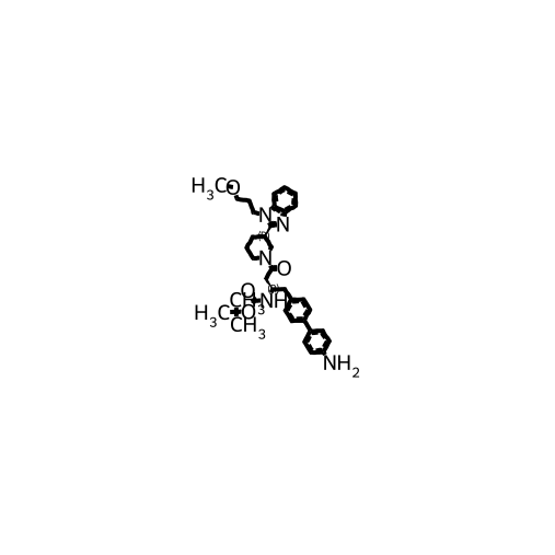 COCCCn1c([C@@H]2CCCN(C(=O)C[C@@H](Cc3ccc(-c4ccc(N)cc4)cc3)NC(=O)OC(C)(C)C)C2)nc2ccccc21